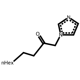 CCCCCCCCC(=O)Cn1ccnc1